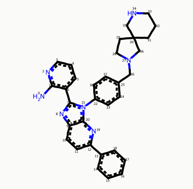 Nc1ncccc1-c1nc2ccc(-c3ccccc3)nc2n1-c1ccc(CN2CCC3(CCCNC3)C2)cc1